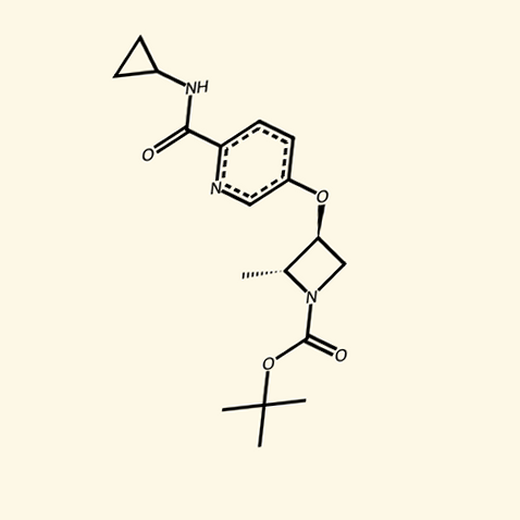 C[C@@H]1[C@@H](Oc2ccc(C(=O)NC3CC3)nc2)CN1C(=O)OC(C)(C)C